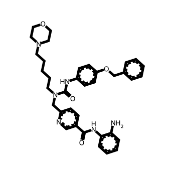 Nc1ccccc1NC(=O)c1ccc(CN(CCCCCN2CCOCC2)C(=O)Nc2ccc(OCc3ccccc3)cc2)nc1